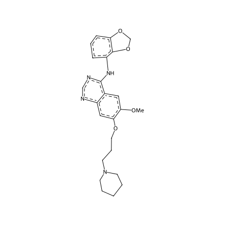 COc1cc2c(Nc3cccc4c3OCO4)ncnc2cc1OCCCN1CCCCC1